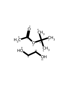 CC(=O)OC(C)(C)C.OCCO